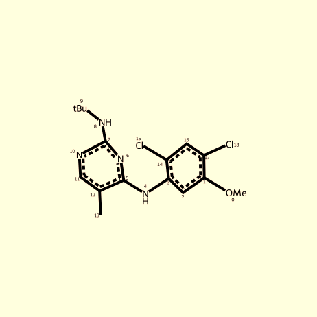 COc1cc(Nc2nc(NC(C)(C)C)ncc2C)c(Cl)cc1Cl